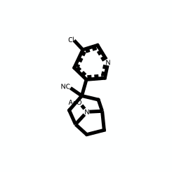 CC(=O)ON1C2CCC1CC(C#N)(c1cncc(Cl)c1)C2